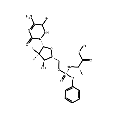 [2H]C1NN([C@@H]2O[C@H](CO[P@@](=O)(N[C@@H](C)C(=O)OC(C)C)Oc3ccccc3)[C@@H](O)[C@@]2(C)F)C(=O)N=C1N